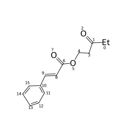 CCC(=O)CCOC(=O)/C=C/c1ccccc1